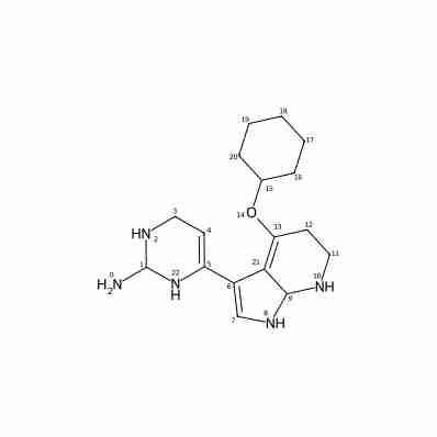 NC1NCC=C(C2=CNC3NCCC(OC4CCCCC4)=C23)N1